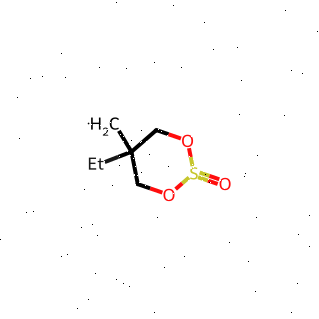 [CH2]C1(CC)COS(=O)OC1